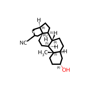 C[C@]12CC[C@@H](O)C[C@@H]1CC[C@@H]1[C@@H]2CC[C@@]23CC(C#N)CC[C@H]2CC[C@@H]13